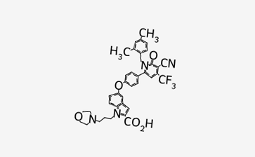 Cc1ccc(Cn2c(-c3ccc(Oc4ccc5c(c4)cc(C(=O)O)n5CCCN4CCOCC4)cc3)cc(C(F)(F)F)c(C#N)c2=O)c(C)c1